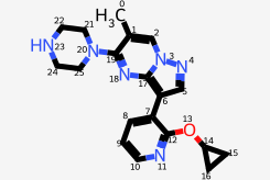 Cc1cn2ncc(-c3cccnc3OC3CC3)c2nc1N1CCNCC1